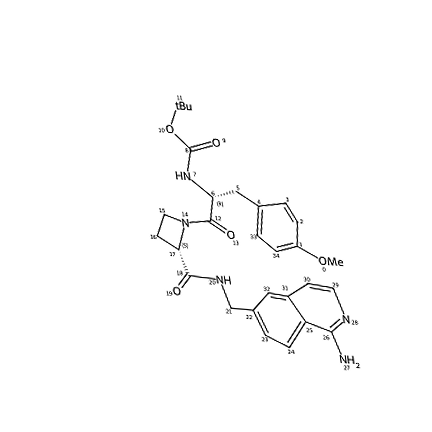 COc1ccc(C[C@@H](NC(=O)OC(C)(C)C)C(=O)N2CC[C@H]2C(=O)NCc2ccc3c(N)nccc3c2)cc1